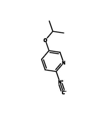 [C-]#[N+]c1ccc(OC(C)C)cn1